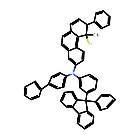 CC1(S)c2c(ccc3cc(N(c4ccc(-c5ccccc5)cc4)c4cccc(C5(c6ccccc6)c6ccccc6-c6ccccc65)c4)ccc23)C=CC1c1ccccc1